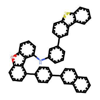 c1cc(Nc2cccc3oc4cccc(-c5ccc(-c6ccc7ccccc7c6)cc5)c4c23)cc(-c2ccc3sc4ccccc4c3c2)c1